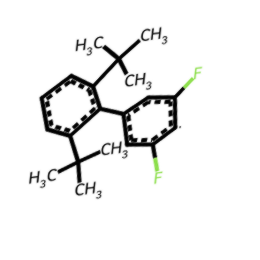 CC(C)(C)c1cccc(C(C)(C)C)c1-c1cc(F)[c]c(F)c1